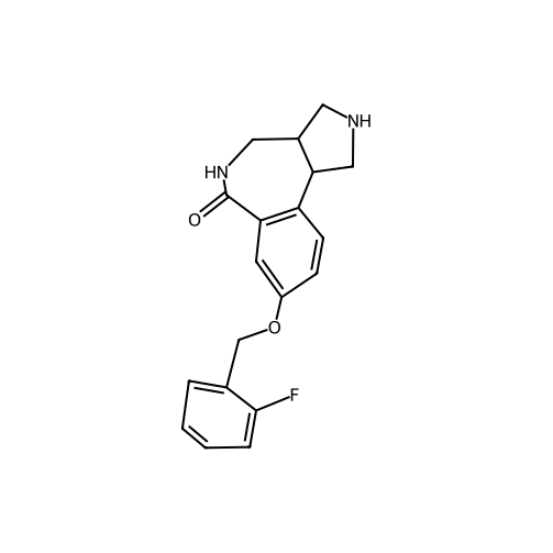 O=C1NCC2CNCC2c2ccc(OCc3ccccc3F)cc21